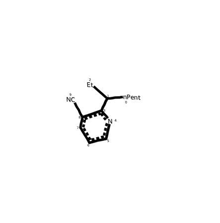 CCCCCC(CC)c1ncccc1C#N